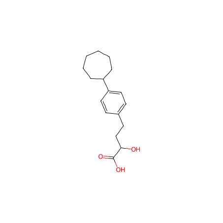 O=C(O)C(O)CCc1ccc(C2CCCCCC2)cc1